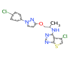 CC(COc1ccn(-c2ccc(Cl)cc2)n1)Nc1ncnc2scc(Cl)c12